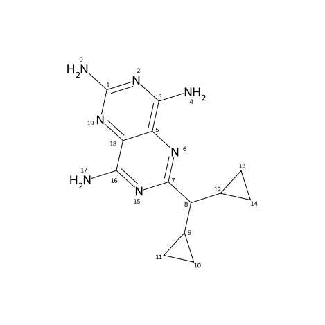 Nc1nc(N)c2nc(C(C3CC3)C3CC3)nc(N)c2n1